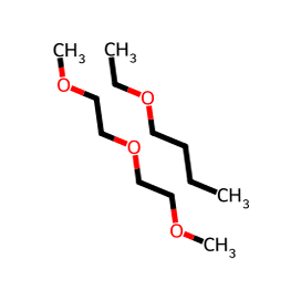 CCCCOCC.COCCOCCOC